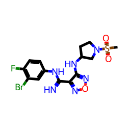 CS(=O)(=O)N1CCC(Nc2nonc2C(=N)Nc2ccc(F)c(Br)c2)C1